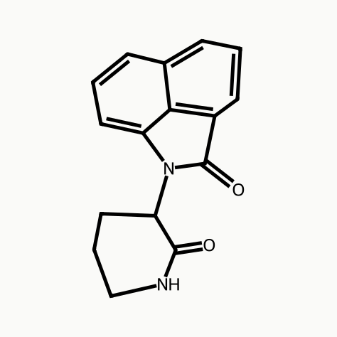 O=C1NCCCC1N1C(=O)c2cccc3cccc1c23